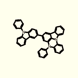 c1ccc(N2c3ccccc3-n3c4ccccc4c4cc(-c5ccc6c(c5)c5ccccc5n6-c5ccccc5)cc2c43)cc1